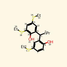 CCCC(c1cc(SCC)ccc1O)c1cc(SCC)cc(SCC)c1O